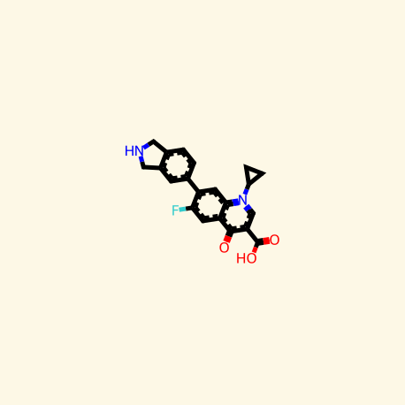 O=C(O)c1cn(C2CC2)c2cc(-c3ccc4c(c3)CNC4)c(F)cc2c1=O